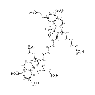 COCCc1cc(S(=O)(=O)O)c2ccc3c(c2c1)C(C)(C)\C(=C/C=C/C=C/C=C/C1=[N+](CCOC)c2ccc4c(S(=O)(=O)O)cc(S(=O)(=O)O)cc4c2C1(C)CCCS(=O)(=O)O)N3CCCCCC(=O)O